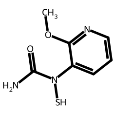 COc1ncccc1N(S)C(N)=O